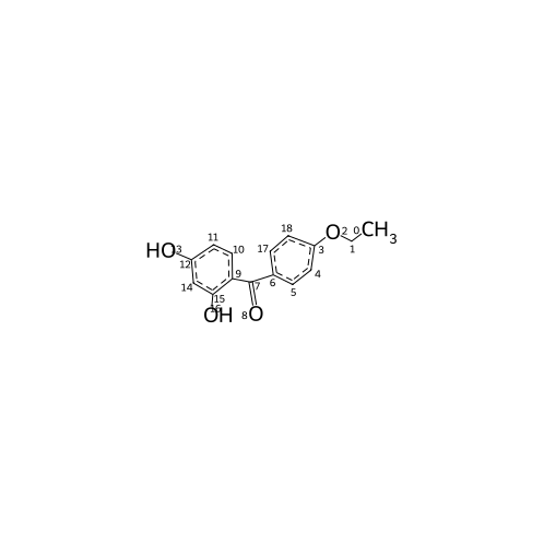 CCOc1ccc(C(=O)c2ccc(O)cc2O)cc1